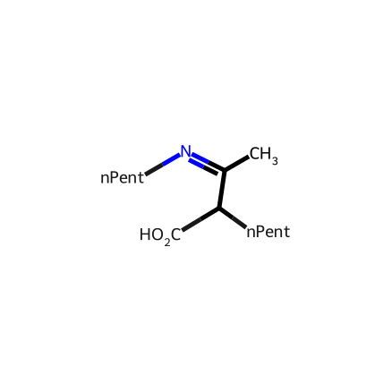 CCCCCN=C(C)C(CCCCC)C(=O)O